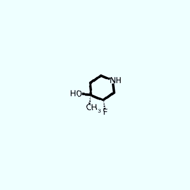 C[C@]1(O)CCNC[C@@H]1F